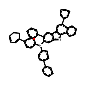 C1=CCCC(c2ccc(N(c3ccc(-c4ccccc4)cc3)c3cc4oc5c6ccccc6c(-c6ccccc6)cc5c4cc3-c3ccccc3)cc2)=C1